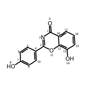 O=c1nc(-c2ccc(O)cc2)oc2c(O)cccc12